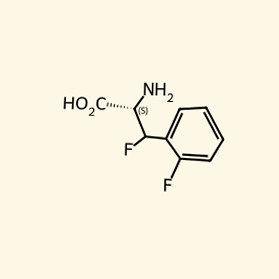 N[C@@H](C(=O)O)C(F)c1ccccc1F